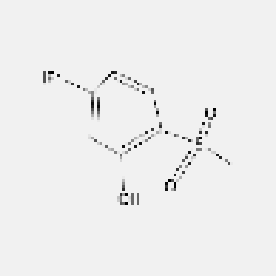 CC(C)c1[c]cc(S(C)(=O)=O)c(O)c1